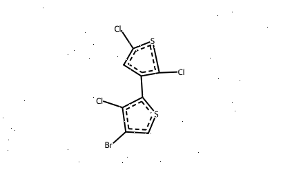 Clc1cc(-c2s[c]c(Br)c2Cl)c(Cl)s1